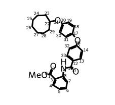 COC(=O)c1ccccc1NC(=O)c1ccc(Oc2ccc(OC3CCCCCCC3)cc2)cc1